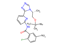 C[C@H](CO[Si](C)(C)C(C)(C)C)n1cnnc1-c1cccc(NC(=O)c2cc([N+](=O)[O-])ccc2F)n1